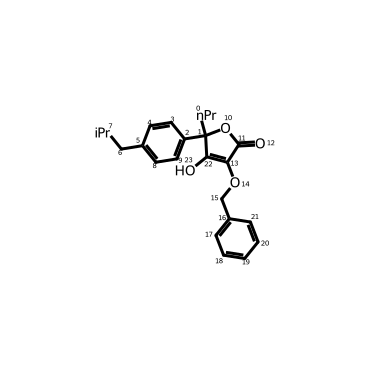 CCCC1(c2ccc(CC(C)C)cc2)OC(=O)C(OCc2ccccc2)=C1O